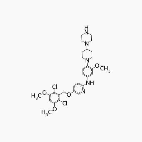 COc1cc(Nc2ccc(OCc3c(Cl)c(OC)cc(OC)c3Cl)cn2)ccc1N1CCC(N2CCNCC2)CC1